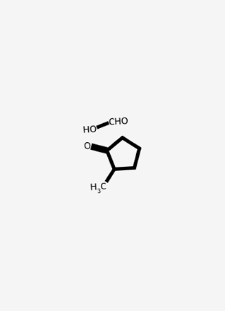 CC1CCCC1=O.O=CO